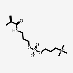 C=C(C)C(=O)NCCCOP(=O)([O-])OCCC[N+](C)(C)C